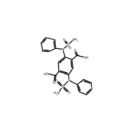 NS(=O)(=O)N(c1ccccc1)c1cc(C(=O)O)c(N(c2ccccc2)S(N)(=O)=O)cc1C(=O)O